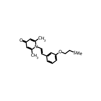 CSCCOc1cccc(/C=C/n2c(C)cc(=O)cc2C)c1